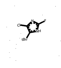 CC(C)(C)c1[nH]c(F)nc1Cl